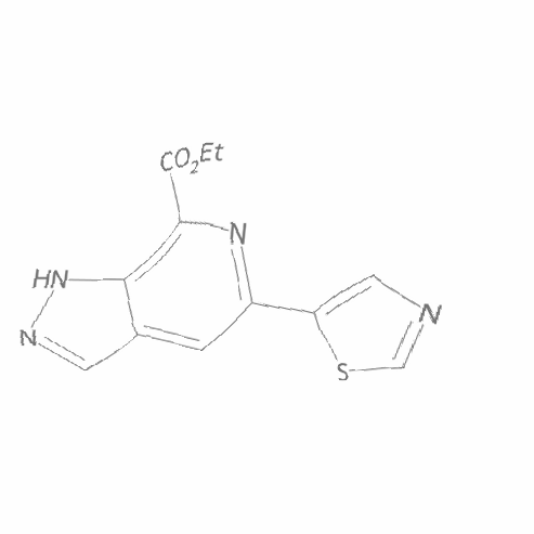 CCOC(=O)c1nc(-c2cncs2)cc2cn[nH]c12